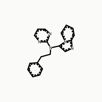 c1ccc(CCN(c2ncccn2)c2cnc3ccccn23)cc1